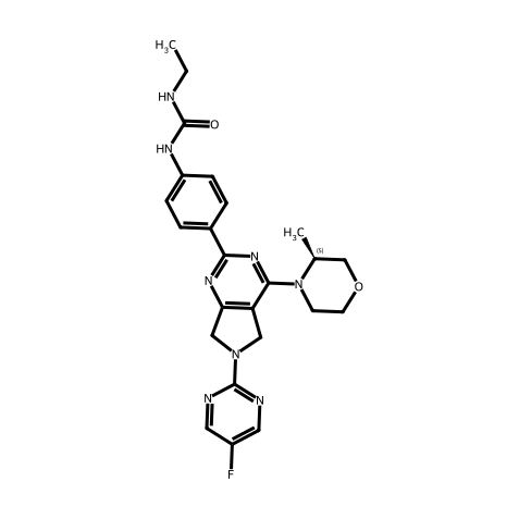 CCNC(=O)Nc1ccc(-c2nc3c(c(N4CCOC[C@@H]4C)n2)CN(c2ncc(F)cn2)C3)cc1